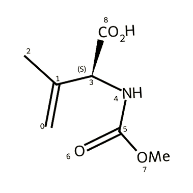 C=C(C)[C@H](NC(=O)OC)C(=O)O